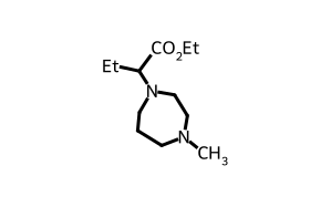 CCOC(=O)C(CC)N1CCCN(C)CC1